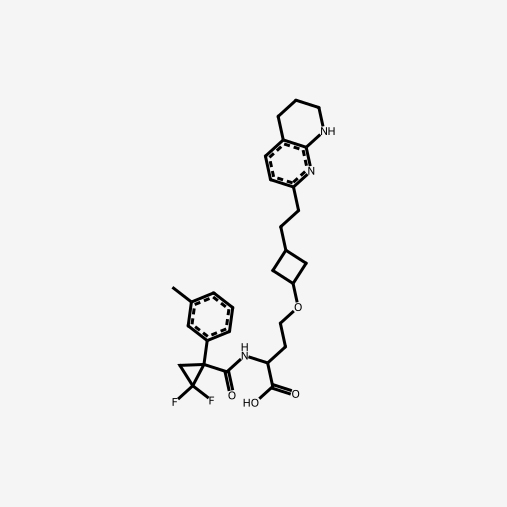 Cc1cccc(C2(C(=O)NC(CCOC3CC(CCc4ccc5c(n4)NCCC5)C3)C(=O)O)CC2(F)F)c1